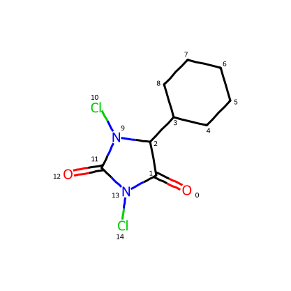 O=C1C(C2CCCCC2)N(Cl)C(=O)N1Cl